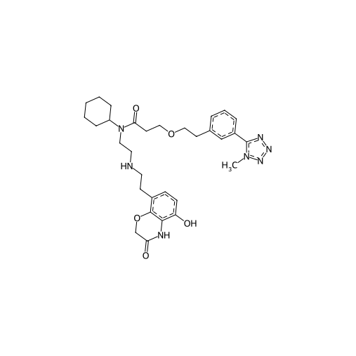 Cn1nnnc1-c1cccc(CCOCCC(=O)N(CCNCCc2ccc(O)c3c2OCC(=O)N3)C2CCCCC2)c1